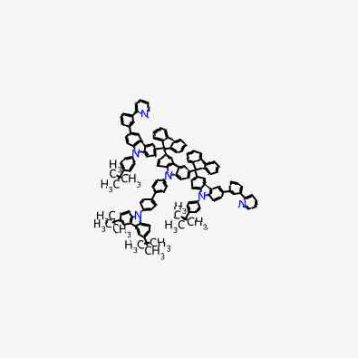 CC(C)(C)c1ccc(-n2c3ccc(-c4cccc(-c5ccccn5)c4)cc3c3cc(C4(c5ccc6c(c5)c5cc(C7(c8ccc9c(c8)c8cc(-c%10cccc(-c%11ccccn%11)c%10)ccc8n9-c8ccc(C(C)(C)C)cc8)c8ccccc8-c8ccccc87)ccc5n6-c5ccc(-c6ccc(-n7c8ccc(C(C)(C)C)cc8c8cc(C(C)(C)C)ccc87)cc6)cc5)c5ccccc5-c5ccccc54)ccc32)cc1